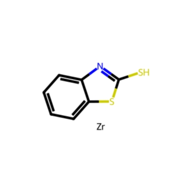 Sc1nc2ccccc2s1.[Zr]